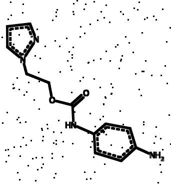 Nc1ccc(NC(=O)OCCn2cccn2)cc1